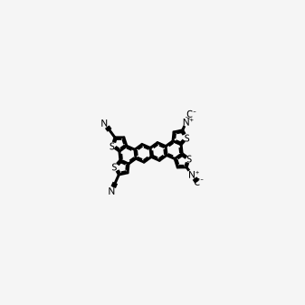 [C-]#[N+]c1cc2c3cc4cc5c(cc4cc3c3cc([N+]#[C-])sc3c2s1)c1cc(C#N)sc1c1sc(C#N)cc51